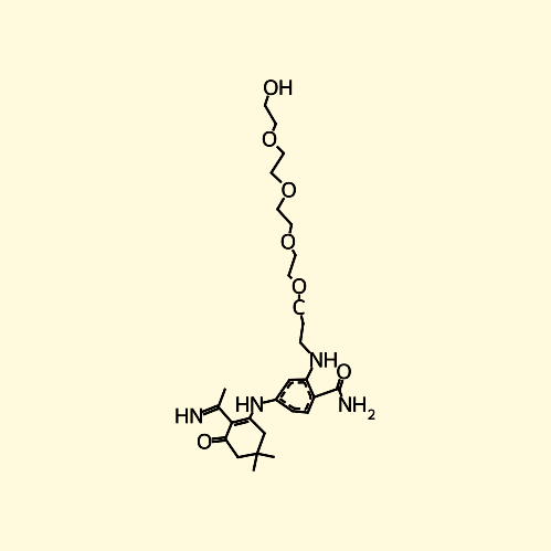 CC(=N)C1=C(Nc2ccc(C(N)=O)c(NCCCOCCOCCOCCOCCO)c2)CC(C)(C)CC1=O